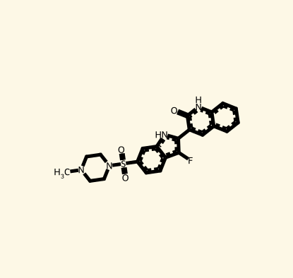 CN1CCN(S(=O)(=O)c2ccc3c(F)c(-c4cc5ccccc5[nH]c4=O)[nH]c3c2)CC1